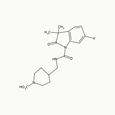 CC1(C)C(=O)N(C(=O)NCC2CCN(C(=O)O)CC2)c2cc(F)ccc21